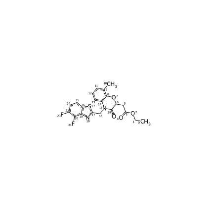 CCOC(=O)CC1Oc2c(C)cccc2N(Cc2nc3c(F)c(F)ccc3s2)C1=O